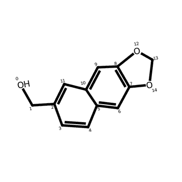 OCc1ccc2cc3c(cc2c1)OCO3